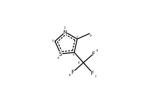 Cc1n[c]sc1C(F)(F)F